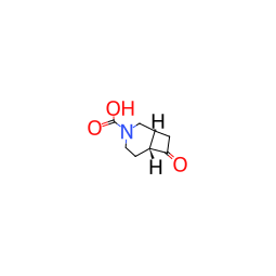 O=C1C[C@H]2CN(C(=O)O)CC[C@@H]12